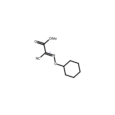 COC(=O)/C(C#N)=N/OC1CCCCC1